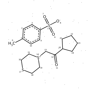 Cc1ccc(S(=O)(=O)[O-])cc1.O=C(C[S+]1CCSCC1)C1CCCC1